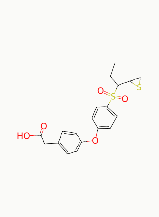 CCC(C1CS1)S(=O)(=O)c1ccc(Oc2ccc(CC(=O)O)cc2)cc1